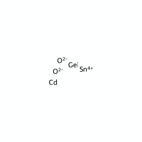 [Cd].[Ge].[O-2].[O-2].[Sn+4]